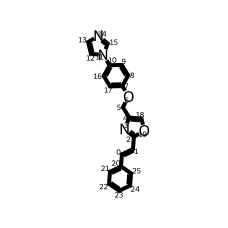 C(=Cc1nc(COc2ccc(-n3ccnc3)cc2)co1)c1ccccc1